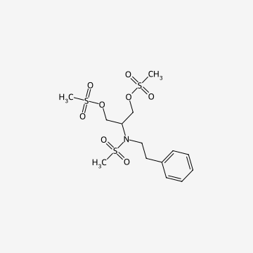 CS(=O)(=O)OCC(COS(C)(=O)=O)N(CCc1ccccc1)S(C)(=O)=O